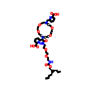 C=CCC[C@@H]1[C@H](CCC)[C@@H]1COC(=O)NCCOCCOCCNC(=O)C(c1cccc(C(=O)O)n1)N1CCOCCOCCN(Cc2cccc(C(=O)O)n2)CCOCCOCC1